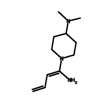 C=C/C=C(\N)N1CCC(N(C)C)CC1